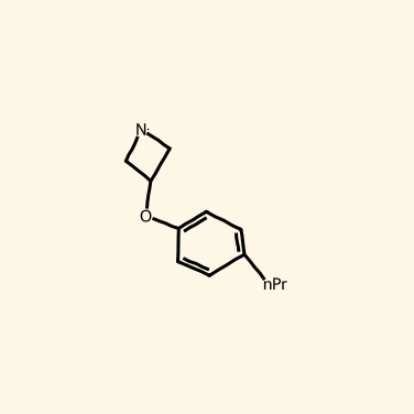 CCCc1ccc(OC2C[N]C2)cc1